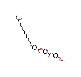 C=CC(=O)OCCCCCCCCCCCOc1ccc(C(=O)Oc2ccc(C(=O)Oc3ccc(OCCCCCC)cc3)cc2)cc1